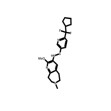 COc1nc2c(cc1NSc1ccc(C(F)(F)C3CCCC3)nc1)CCN(C)CC2